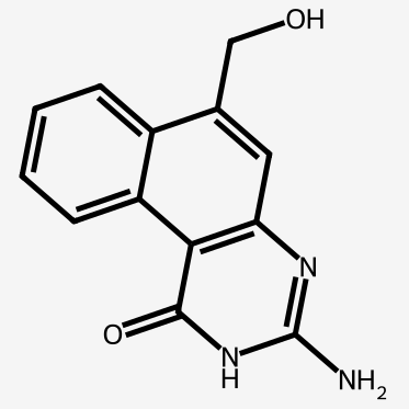 Nc1nc2cc(CO)c3ccccc3c2c(=O)[nH]1